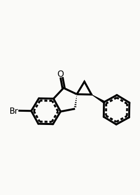 O=C1c2cc(Br)ccc2C[C@@]12C[C@H]2c1ccccc1